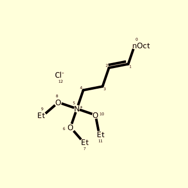 CCCCCCCCC=CCC[N+](OCC)(OCC)OCC.[Cl-]